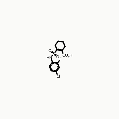 O=C(O)C1=C(S(=O)(=O)Nc2ccc(Cl)cc2F)CCCC1